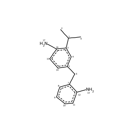 CC(C)c1cc(Cc2ccccc2N)ccc1N